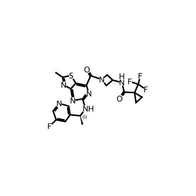 Cc1nc2nc(N[C@@H](C)c3cncc(F)c3)nc(C(=O)N3CC(NC(=O)C4(C(F)(F)F)CC4)C3)c2s1